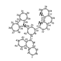 c1ccc2c(c1)cc(-c1cc(-c3ccc4ccc5cccnc5c4n3)cc(-n3c4ccccc4c4ccccc43)c1)c1ccccc12